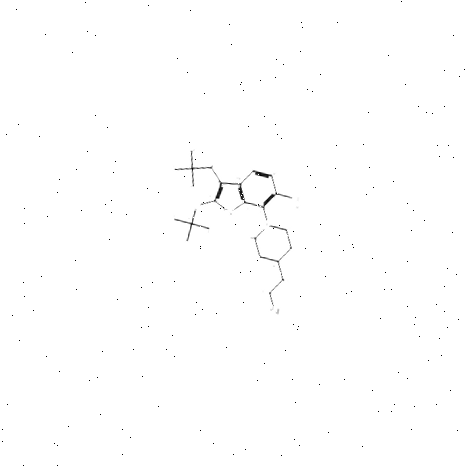 CC(C)(C)Cc1c(SC(C)(C)C)[nH]c2c(N3CCC(CCN)CC3)c(O)ccc12